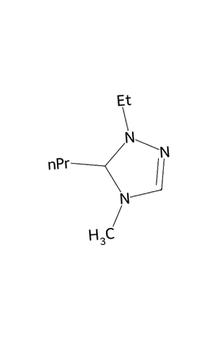 CCCC1N(C)C=NN1CC